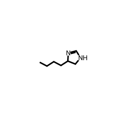 CCCCC1CNC=N1